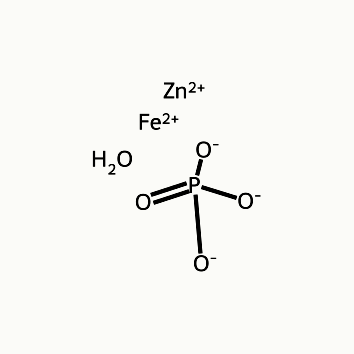 O.O=P([O-])([O-])[O-].[Fe+2].[Zn+2]